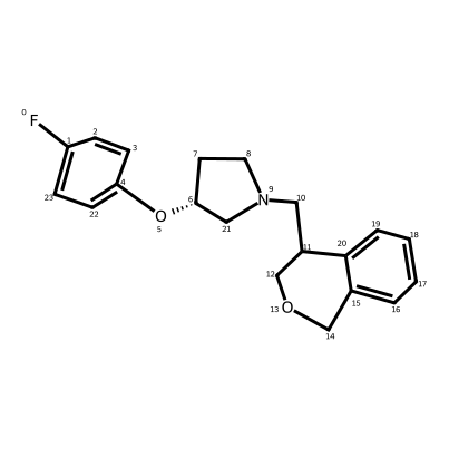 Fc1ccc(O[C@@H]2CCN(CC3COCc4ccccc43)C2)cc1